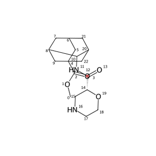 COC(=O)C12CC3CC(C1)C(NC(=O)[C@H]1CNCCO1)C(C3)C2